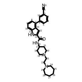 N#Cc1cccc(-c2cccc3[nH]c(C(=O)NC4CCN(CCN5CCCCCC5)CC4)cc23)c1